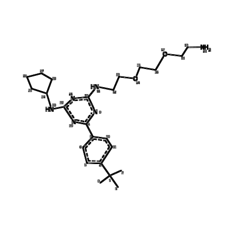 CC(C)(C)c1ccc(-c2nc(NCCOCCOCCN)nc(NC3CCCC3)n2)cc1